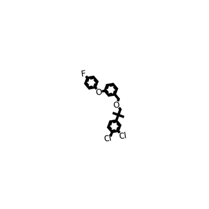 CC(C)(COCc1cccc(Oc2ccc(F)cc2)c1)c1ccc(Cl)c(Cl)c1